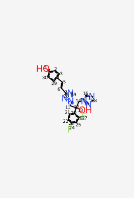 Oc1ccc(C=Cc2ncn(CC(O)(Cn3cncn3)c3ccc(F)cc3F)n2)cc1